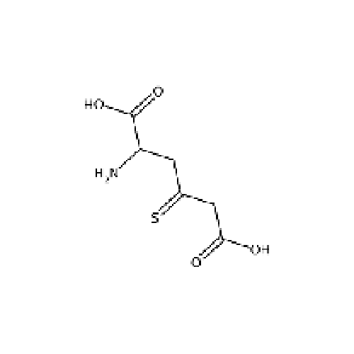 NC(CC(=S)CC(=O)O)C(=O)O